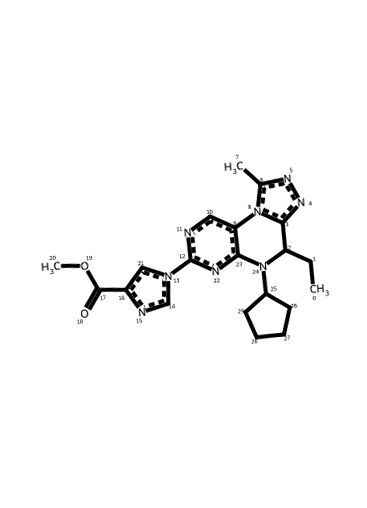 CCC1c2nnc(C)n2-c2cnc(-n3cnc(C(=O)OC)c3)nc2N1C1CCCC1